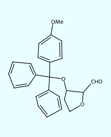 COc1ccc(C(OC2CCOC2C=O)(c2ccccc2)c2ccccc2)cc1